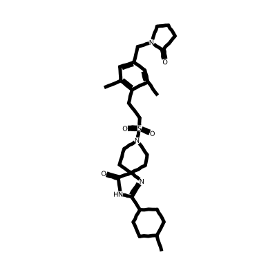 Cc1cc(CN2CCCC2=O)cc(C)c1CCS(=O)(=O)N1CCC2(CC1)N=C(C1CCC(C)CC1)NC2=O